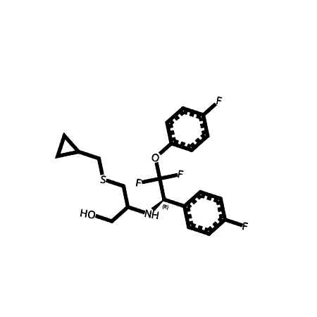 OCC(CSCC1CC1)N[C@H](c1ccc(F)cc1)C(F)(F)Oc1ccc(F)cc1